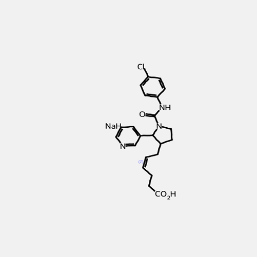 O=C(O)CC/C=C\CC1CCN(C(=O)Nc2ccc(Cl)cc2)C1c1cccnc1.[NaH]